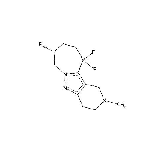 CN1CCc2nn3c(c2C1)C(F)(F)CC[C@@H](F)C3